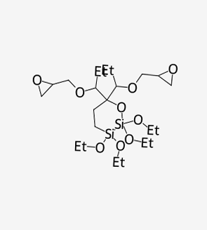 CCO[Si]1(OCC)CCC(C(CC)OCC2CO2)(C(CC)OCC2CO2)O[Si]1(OCC)OCC